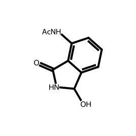 CC(=O)Nc1cccc2c1C(=O)NC2O